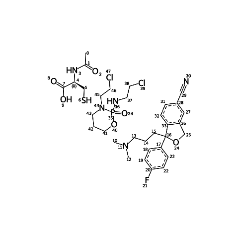 CC(=O)N[C@@H](CS)C(=O)O.CN(C)CCCC1(c2ccc(F)cc2)OCc2cc(C#N)ccc21.O=P1(NCCCl)OCCCN1CCCl